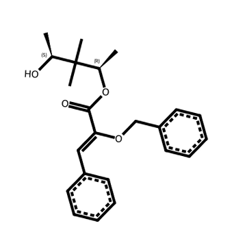 C[C@H](O)C(C)(C)[C@@H](C)OC(=O)C(=Cc1ccccc1)OCc1ccccc1